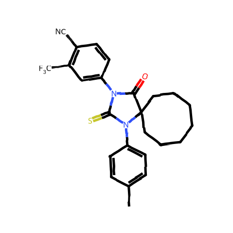 Cc1ccc(N2C(=S)N(c3ccc(C#N)c(C(F)(F)F)c3)C(=O)C23CCCCCCC3)cc1